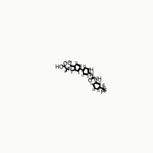 CC(C(=O)O)N1Cc2cc(-c3ccc(NC(=O)Nc4cccc(C(F)(F)F)c4)cc3)ccc2C1=O